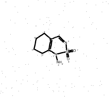 NN1C2=C(C=NS1(=O)=O)CCCC2